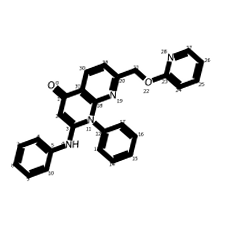 O=c1cc(Nc2ccccc2)n(-c2ccccc2)c2nc(COc3ccccn3)ccc12